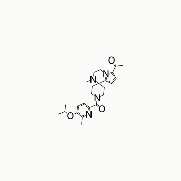 CC(=O)c1ccc2n1CCN(C)C21CCN(C(=O)c2ccc(OC(C)C)c(C)n2)CC1